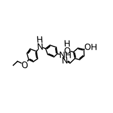 CCOc1ccc(Nc2ccc(N/N=C\c3ccc(O)cc3O)cc2)cc1